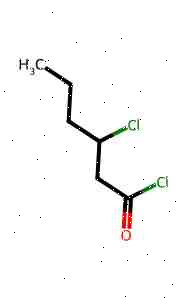 CCCC(Cl)CC(=O)Cl